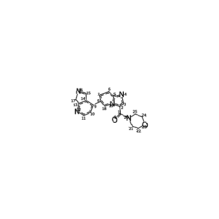 O=C(c1cnc2ccc(-c3ccnc4c3C=NC4)cn12)N1CCOCC1